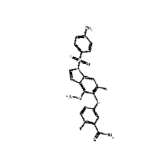 CSc1c(Oc2ccc(F)c(C(N)=S)c2)c(F)cc2c1ccn2S(=O)(=O)c1ccc(C)cc1